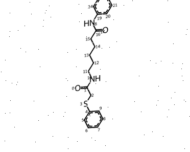 O=C(CSc1ccccc1)NCCCCCC(=O)Nc1ccccc1